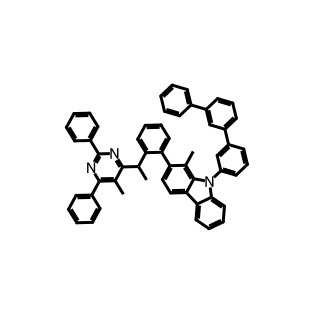 Cc1c(-c2ccccc2)nc(-c2ccccc2)nc1C(C)c1ccccc1-c1ccc2c3ccccc3n(-c3cccc(-c4cccc(-c5ccccc5)c4)c3)c2c1C